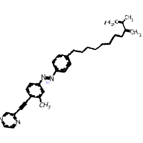 C=C(C)C(=C)CCCCCCCCc1ccc(/N=N/c2ccc(C#Cc3cnccn3)c(C)c2)cc1